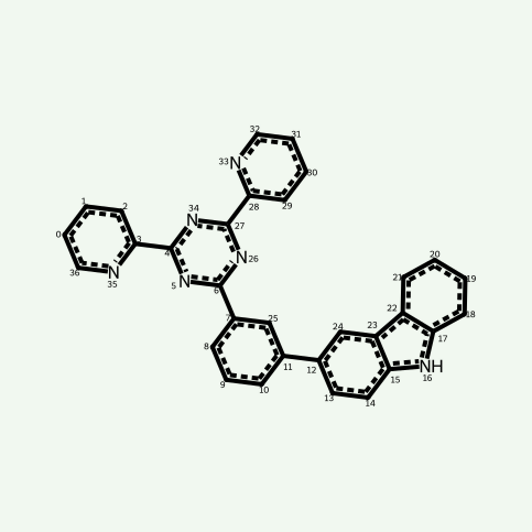 c1ccc(-c2nc(-c3cccc(-c4ccc5[nH]c6ccccc6c5c4)c3)nc(-c3ccccn3)n2)nc1